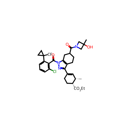 CCOC(=O)[C@@H]1CCC(c2nn(C(=O)c3c(Cl)cccc3C3(C(F)(F)F)CC3)c3c2CCC(C(=O)N2CC(C)(O)C2)C3)=C[C@@H]1C